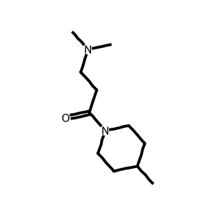 CC1CCN(C(=O)CCN(C)C)CC1